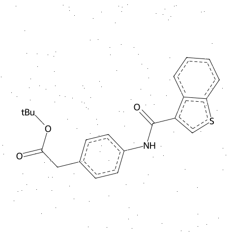 CC(C)(C)OC(=O)Cc1ccc(NC(=O)c2csc3ccccc23)cc1